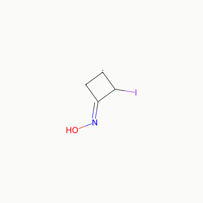 ON=C1C[CH]C1I